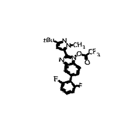 Cn1nc(C(C)(C)C)cc1-c1nc2cc(-c3c(F)cccc3F)ccc2n1OC(=O)C(F)(F)F